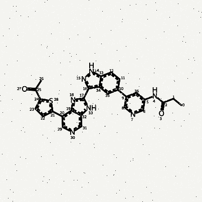 CCC(=O)Nc1cncc(-c2ccc3[nH]nc(-c4nc5c(-c6ccc(C(C)=O)s6)cncc5[nH]4)c3c2)c1